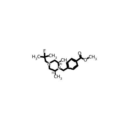 COC(=O)c1ccc(CN2[C@H](C)CN(CC(C)(C)F)C[C@@H]2C)cc1